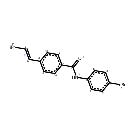 CCCCc1ccc(NC(=O)c2ccc(/C=C/C(C)C)cc2)cc1